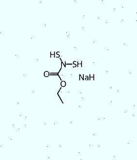 CCOC(=O)N(S)S.[NaH]